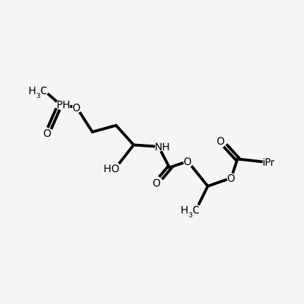 CC(OC(=O)NC(O)CCO[PH](C)=O)OC(=O)C(C)C